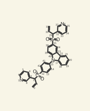 C=CC(c1cccnc1)S(=O)(=O)c1ccc(-n2c3ccccc3c3cc(S(=O)(=O)C(C=C)c4cccnc4)ccc32)cc1